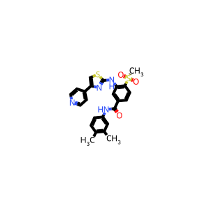 Cc1ccc(NC(=O)c2ccc(S(C)(=O)=O)c(Nc3nc(-c4ccncc4)cs3)c2)cc1C